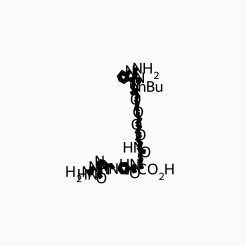 CCCCc1nc2c(N)nc3ccccc3c2n1CC(C)(C)COCCOCCOCCOCCNC(=O)CCC(NC(=O)c1ccc(NCc2cnc3nc(N)[nH]c(=O)c3n2)cc1)C(=O)O